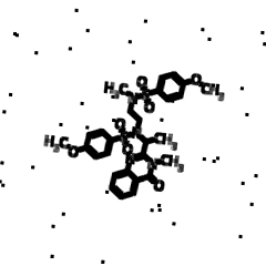 COc1ccc(S(=O)(=O)N(C)CCN(C(C)c2nc3ccccc3c(=O)n2C)S(=O)(=O)c2ccc(OC)cc2)cc1